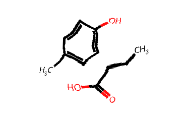 CCCC(=O)O.Cc1ccc(O)cc1